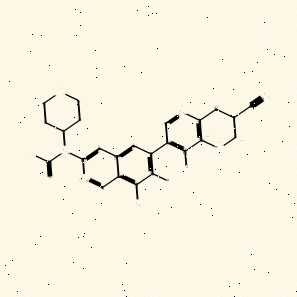 Cc1c(-c2cc3cc(N(C(=O)O)C4CCOCC4)ncc3c(N)c2F)cnc2c1NCC(C#N)C2